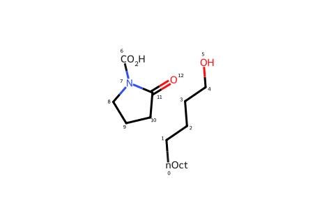 CCCCCCCCCCCCO.O=C(O)N1CCCC1=O